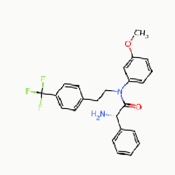 COc1cccc(N(CCc2ccc(C(F)(F)F)cc2)C(=O)[C@@H](N)c2ccccc2)c1